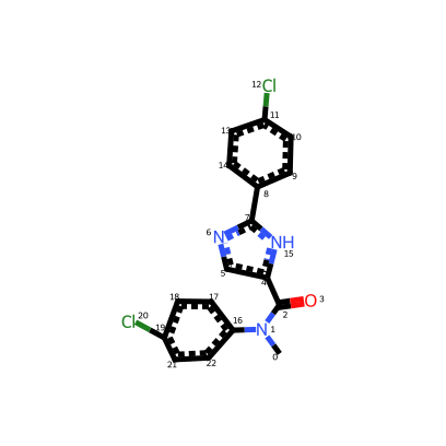 CN(C(=O)c1cnc(-c2ccc(Cl)cc2)[nH]1)c1ccc(Cl)cc1